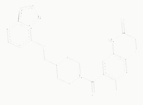 O=C1COc2cc(F)c(C(=O)N3CCC(COc4cccc5ccnn45)CC3)cc2N1